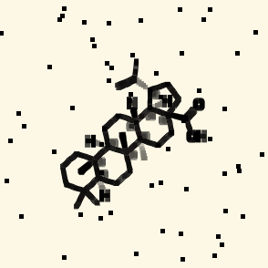 C=C(C)[C@@H]1CC[C@]2(C(=O)O)CC[C@]3(C)[C@H](CC[C@@H]4[C@@]5(C)CCCC(C)(C)[C@@H]5CC[C@]43C)[C@@H]12